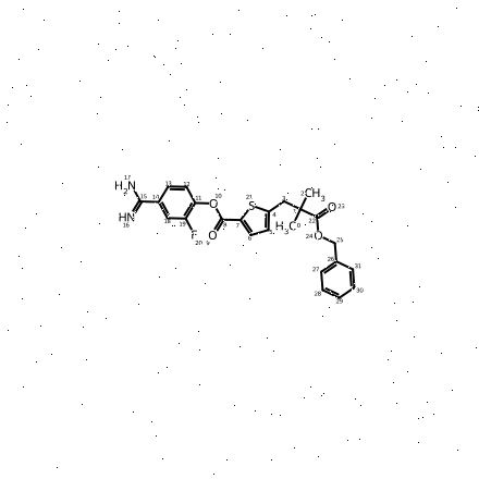 CC(C)(Cc1ccc(C(=O)Oc2ccc(C(=N)N)cc2F)s1)C(=O)OCc1ccccc1